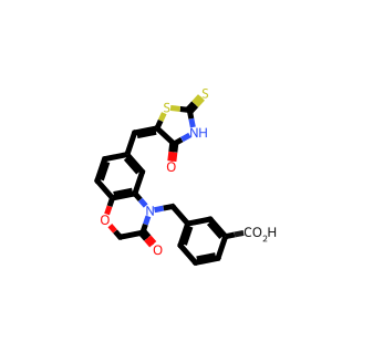 O=C1NC(=S)SC1=Cc1ccc2c(c1)N(Cc1cccc(C(=O)O)c1)C(=O)CO2